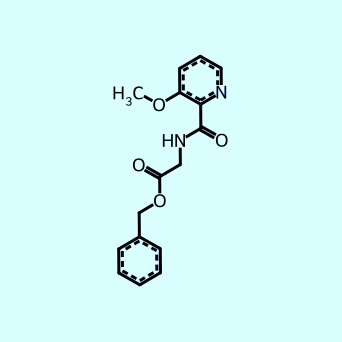 COc1cccnc1C(=O)NCC(=O)OCc1ccccc1